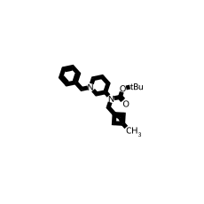 CC12CC(CN(C(=O)OC(C)(C)C)C3CCCN(Cc4ccccc4)C3)(C1)C2